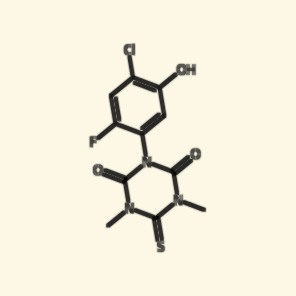 Cn1c(=S)n(C)c(=O)n(-c2cc(O)c(Cl)cc2F)c1=O